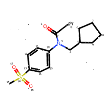 CC(C)C(=O)N(CC1CCCC1)c1ccc(S(C)(=O)=O)cc1